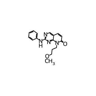 COCCCn1c(=O)ccc2cnc(Nc3ccccc3)nc21